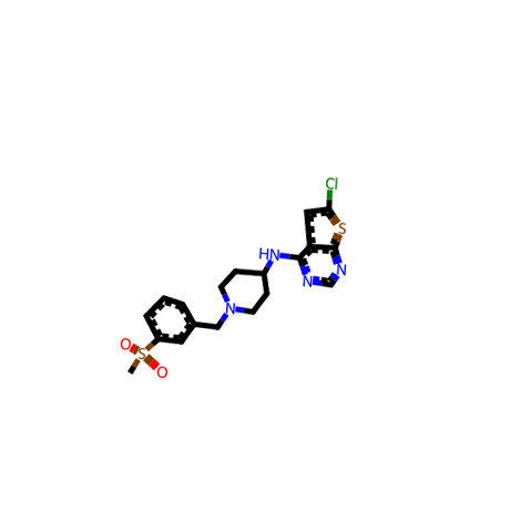 CS(=O)(=O)c1cccc(CN2CCC(Nc3ncnc4sc(Cl)cc34)CC2)c1